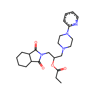 CCC(=O)OC(CN1CCN(c2ccccn2)CC1)CN1C(=O)C2CCCCC2C1=O